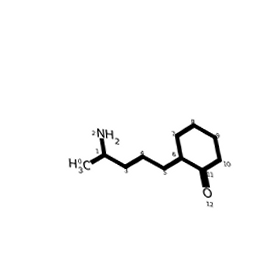 CC(N)CCCC1CCCCC1=O